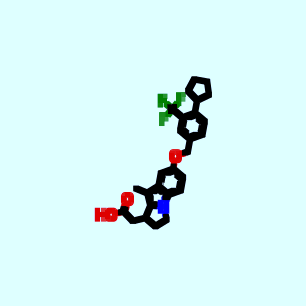 Cc1c2n(c3ccc(OCc4ccc(C5CCCC5)c(C(F)(F)F)c4)cc13)CCC2CC(=O)O